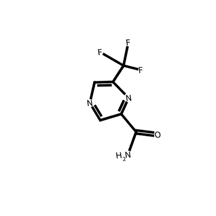 NC(=O)c1cncc(C(F)(F)F)n1